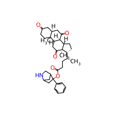 C[C@H](CCC(=O)OC1(c2ccccc2)CC2CC1CN2)[C@H]1CC[C@H]2[C@@H]3C(=O)C[C@@H]4CC(=O)CC[C@]4(C)[C@H]3CC(=O)[C@]12C